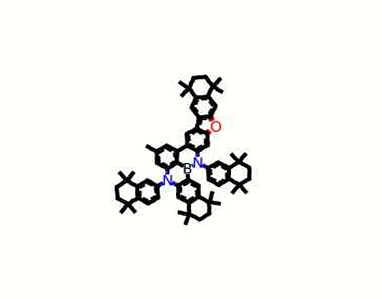 Cc1cc2c3c(c1)N(c1ccc4c(c1)C(C)(C)CCC4(C)C)c1cc4c(cc1B3N(c1ccc3c(c1)C(C)(C)CCC3(C)C)c1cc3oc5cc6c(cc5c3cc1-2)C(C)(C)CCC6(C)C)C(C)(C)CCC4(C)C